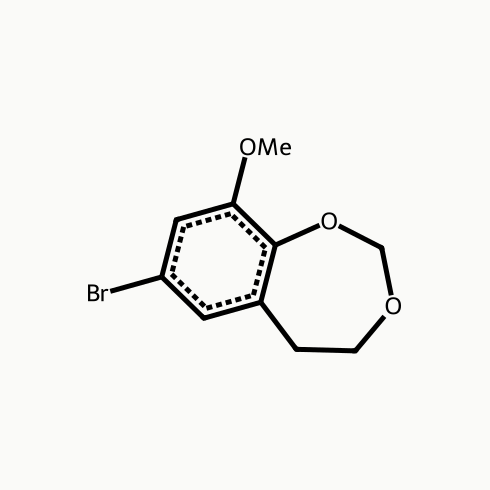 COc1cc(Br)cc2c1OCOCC2